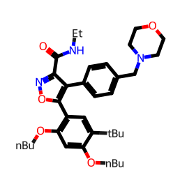 CCCCOc1cc(OCCCC)c(C(C)(C)C)cc1-c1onc(C(=O)NCC)c1-c1ccc(CN2CCOCC2)cc1